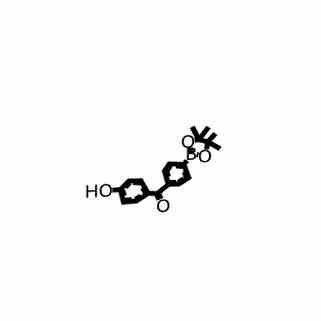 CC1(C)OB(c2ccc(C(=O)c3ccc(O)cc3)cc2)OC1(C)C